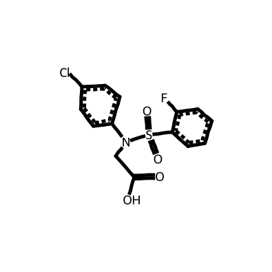 O=C(O)CN(c1ccc(Cl)cc1)S(=O)(=O)c1ccccc1F